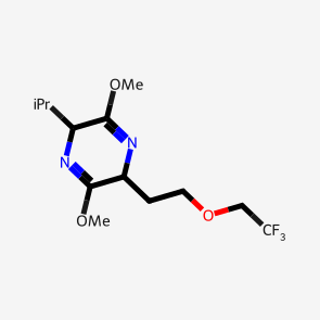 COC1=NC(C(C)C)C(OC)=NC1CCOCC(F)(F)F